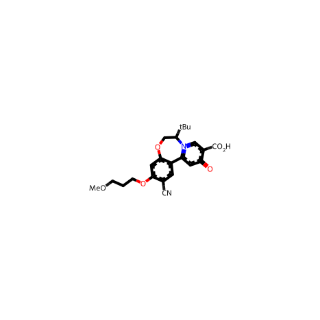 COCCCOc1cc2c(cc1C#N)-c1cc(=O)c(C(=O)O)cn1C(C(C)(C)C)CO2